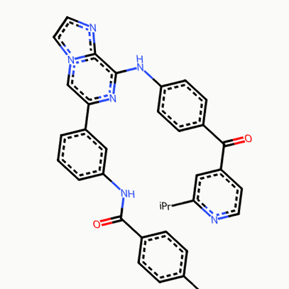 CC(C)c1cc(C(=O)c2ccc(Nc3nc(-c4cccc(NC(=O)c5ccc(C(C)(C)C)cc5)c4)cn4ccnc34)cc2)ccn1